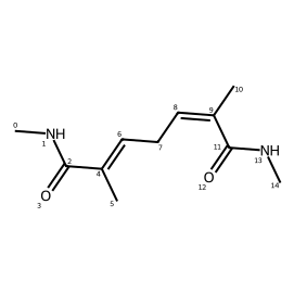 CNC(=O)C(C)=CCC=C(C)C(=O)NC